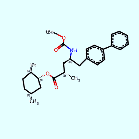 CC(C)[C@@H]1CC[C@@H](C)C[C@H]1OC(=O)[C@@H](C)C[C@H](Cc1ccc(-c2ccccc2)cc1)NC(=O)OC(C)(C)C